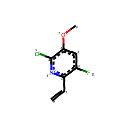 C=Cc1nc(Cl)c(OC)cc1F